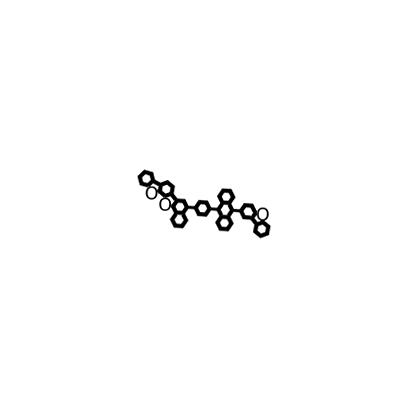 c1ccc2c(c1)oc1ccc(-c3c4ccccc4c(-c4ccc(-c5cc6c7ccc8c9ccccc9oc8c7oc6c6ccccc56)cc4)c4ccccc34)cc12